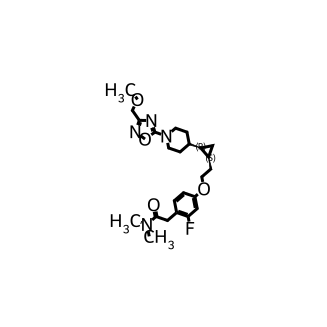 COCc1noc(N2CCC([C@H]3C[C@H]3CCOc3ccc(CC(=O)N(C)C)c(F)c3)CC2)n1